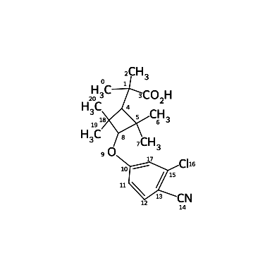 CC(C)(C(=O)O)C1C(C)(C)C(Oc2ccc(C#N)c(Cl)c2)C1(C)C